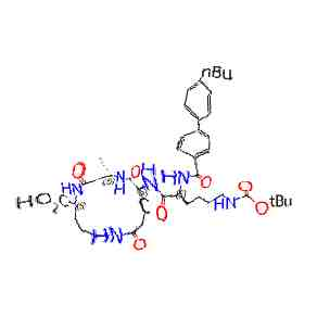 CCCCc1ccc(-c2ccc(C(=O)N[C@@H](CCCCNC(=O)OC(C)(C)C)C(=O)N[C@H]3CCC(=O)NCCC[C@@H](C(=O)O)NC(=O)[C@H](C)NC3=O)cc2)cc1